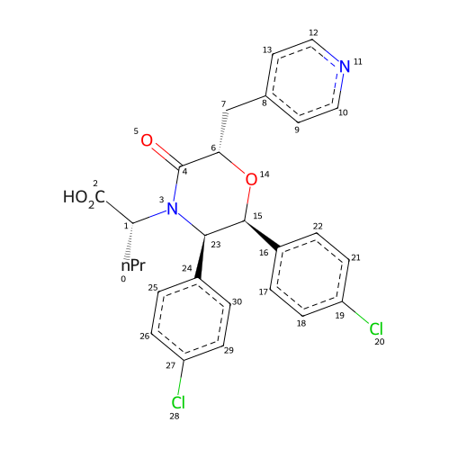 CCC[C@H](C(=O)O)N1C(=O)[C@H](Cc2ccncc2)O[C@@H](c2ccc(Cl)cc2)[C@H]1c1ccc(Cl)cc1